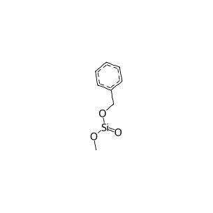 CO[Si](=O)OCc1ccccc1